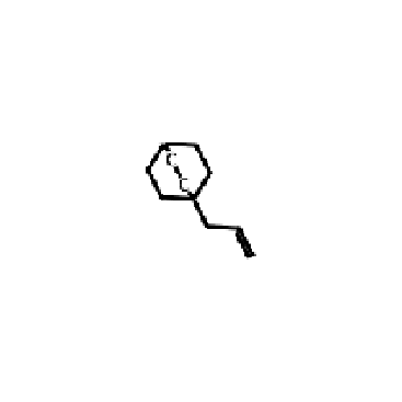 C=CCC12CC[C](CC1)CC2